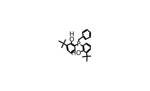 CC(C)(C)c1cccc(P(Cc2ccccc2)c2cccc(C(C)(C)C)c2O)c1O